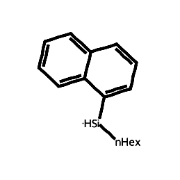 CCCCCC[SiH]c1cccc2ccccc12